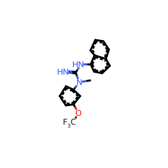 CN(C(=N)Nc1cccc2ccccc12)c1cccc(OC(F)(F)F)c1